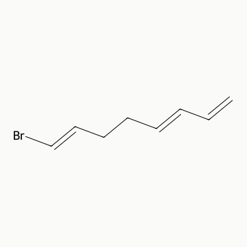 C=CC=CCCC=CBr